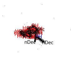 CCCCCCCCCCCCC/C=C/[C@@H](O)[C@H](CO[C@@H]1OC(CO)[C@@H](O[C@@H]2OC(CO)[C@H](O)[C@H](O[C@@H]3OC(CO)[C@@H](O[C@@H]4OC(CO)[C@H](O)[C@H](O[C@@H]5OC(CO)[C@@H](O[C@@H]6OC(CO)[C@H](O)[C@H](O[C@@H]7OC(CO)[C@@H](O[C@@H]8OC(CO)[C@H](O)[C@H](O)C8O)[C@H](O)C7NC(C)=O)C6O)[C@H](O[C@H]6OC(C)[C@@H](O)C(O)[C@@H]6O)C5NC(C)=O)C4O)[C@H](O)C3NC(C)=O)C2O)[C@H](O)C1O)NC(=O)CCCCCCCCCCCCCCCCCCC